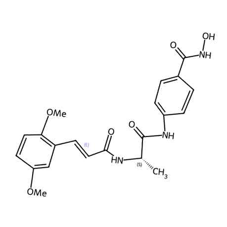 COc1ccc(OC)c(/C=C/C(=O)N[C@@H](C)C(=O)Nc2ccc(C(=O)NO)cc2)c1